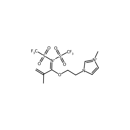 C=C(C)C(OCCn1cc[n+](C)c1)=[N+](S(=O)(=O)C(F)(F)F)S(=O)(=O)C(F)(F)F